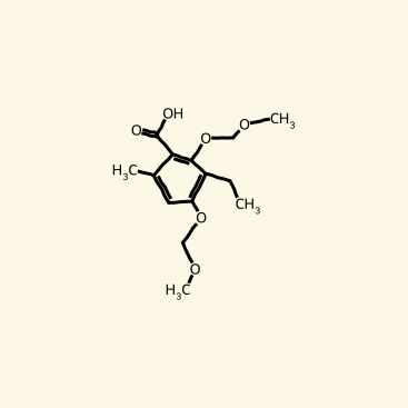 CCc1c(OCOC)cc(C)c(C(=O)O)c1OCOC